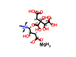 C[N+](C)(C)CC(O)CC(=O)[O-].O=C(O)CC(O)(C(=O)O)C(O)C(=O)O.[MgH2]